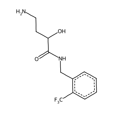 NCCC(O)C(=O)NCc1ccccc1C(F)(F)F